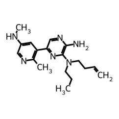 C=CCCN(CCC)c1nc(-c2cc(NC)cnc2C)cnc1N